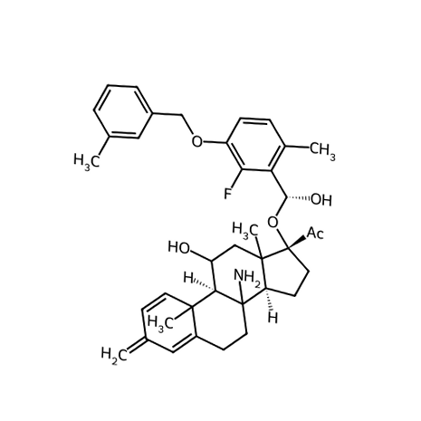 C=C1C=CC2(C)C(=C1)CCC1(N)[C@@H]2C(O)CC2(C)[C@H]1CC[C@]2(O[C@@H](O)c1c(C)ccc(OCc2cccc(C)c2)c1F)C(C)=O